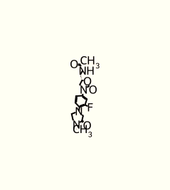 CC(=O)NC[C@H]1CN(c2ccc(N3CCN(C)C(=O)C3)c(F)c2)C(=O)O1